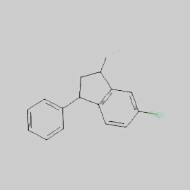 O=CC1CC(c2ccccc2)c2ccc(Cl)cc21